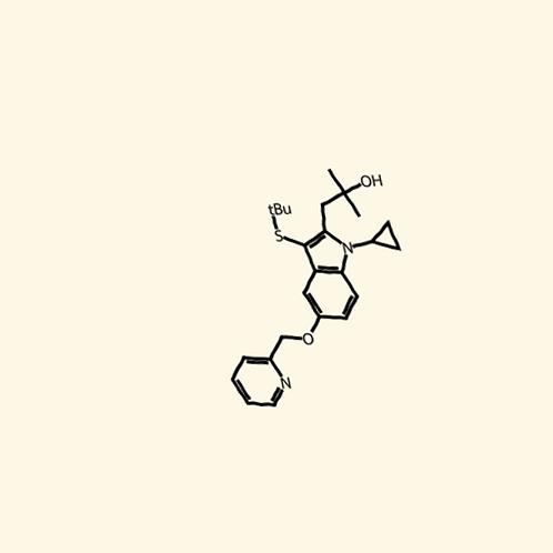 CC(C)(O)Cc1c(SC(C)(C)C)c2cc(OCc3ccccn3)ccc2n1C1CC1